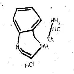 CCN.Cl.Cl.c1ccc2[nH]cnc2c1